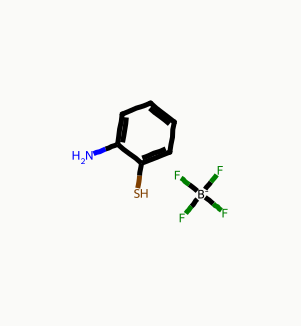 F[B-](F)(F)F.Nc1ccccc1S